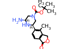 Cc1c([C@@H]2CN(C(=O)OC(C)(C)C)C[C@H](N)N2)ccc2c1COC2=O